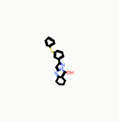 Oc1c2c(nc3cc(-c4cccc(Sc5ccccc5)c4)nn13)CCCC2